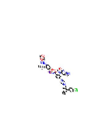 O=C(NS(=O)(=O)c1ccc(NC[C@H]2COCCO2)c([N+](=O)[O-])c1)c1ccc(N2CCN(CC3=C(c4ccc(Cl)cc4)CC4(CCC4)CC3)CC2)cc1N1CCOc2nc3[nH]ccc3cc21